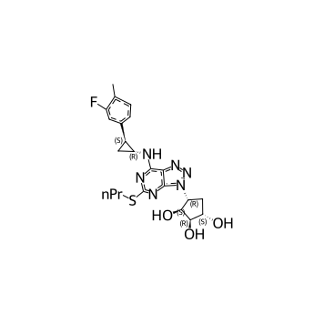 CCCSc1nc(N[C@@H]2C[C@H]2c2ccc(C)c(F)c2)c2nnn([C@@H]3C[C@H](O)[C@@H](O)[C@H]3O)c2n1